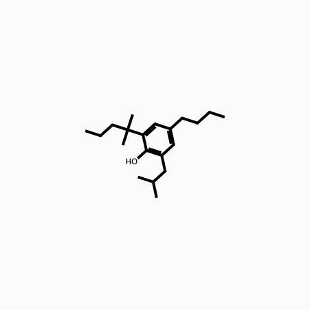 CCCCc1cc(CC(C)C)c(O)c(C(C)(C)CCC)c1